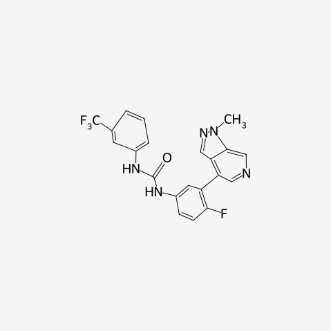 Cn1ncc2c(-c3cc(NC(=O)Nc4cccc(C(F)(F)F)c4)ccc3F)cncc21